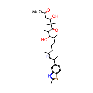 COC(=O)CC(O)C(C)(C)C(=O)C(C)C(O)C(C)CCC/C(C)=C\C(C)c1ccc2sc(C)nc2c1